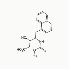 CC(C)(C)OC(=O)NC(Cc1cccc2ccccc12)C(O)CC(=O)O